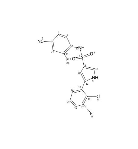 N#Cc1ccc(NS(=O)(=O)c2c[nH]c(-c3cccc(F)c3Cl)c2)c(F)c1